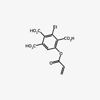 C=CC(=O)Oc1cc(C(=O)O)c(C(=O)O)c(CC)c1C(=O)O